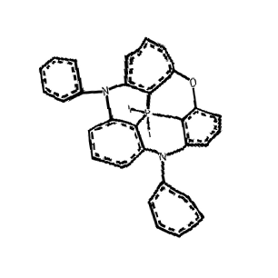 IP12(I)c3c4cccc3N(c3ccccc3)c3cccc(c31)N(c1ccccc1)c1cccc(c12)O4